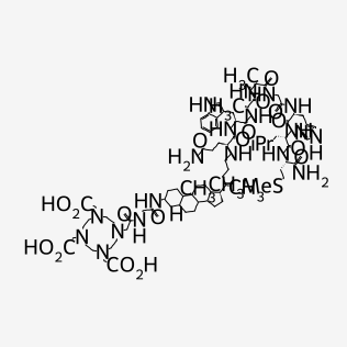 CSCC[C@H](NC(=O)[C@H](CC(C)C)NC(=O)[C@H](Cc1c[nH]cn1)NC(=O)CNC(=O)[C@H](C)NC(=O)[C@H](C)NC(=O)[C@H](Cc1c[nH]c2ccccc12)NC(=O)[C@H](CCC(N)=O)NCCC[C@@H](C)[C@H]1CCC2C3CC[C@@H]4C[C@@H](NC(=O)CNC(=O)CN5CCN(CC(=O)O)CCN(CC(=O)O)CCN(CC(=O)O)CC5)CC[C@]4(C)C3CC[C@@]21C)C(N)=O